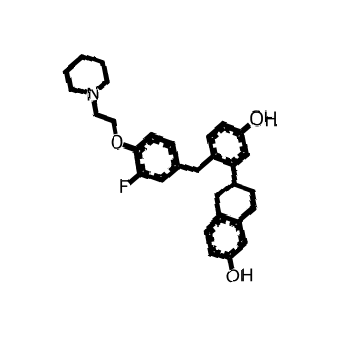 Oc1ccc2c(c1)CCC(c1cc(O)ccc1Cc1ccc(OCCN3CCCCC3)c(F)c1)C2